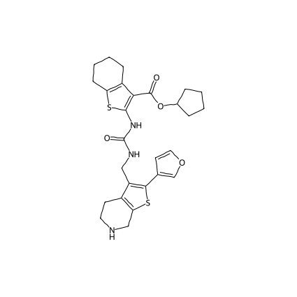 O=C(NCc1c(-c2ccoc2)sc2c1CCNC2)Nc1sc2c(c1C(=O)OC1CCCC1)CCCC2